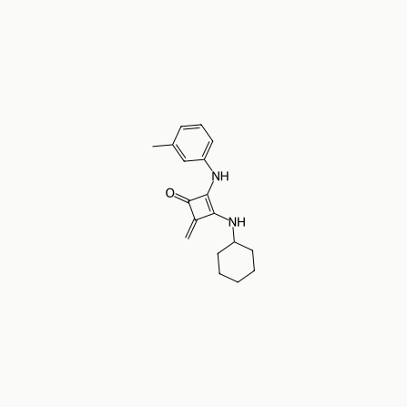 C=C1C(=O)C(Nc2cccc(C)c2)=C1NC1CCCCC1